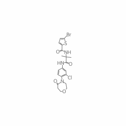 CC(C)(NC(=O)c1ccc(Br)s1)C(=O)Nc1ccc(N2CCOCCC2=O)c(Cl)c1